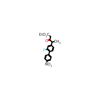 CCOC(=O)CC(=O)C(C)c1ccc(-c2ccc([N+](=O)[O-])cc2)c(F)c1